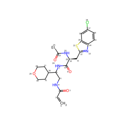 C=CC(=O)NCC(NC(=O)[C@H](Cc1nc2ccc(Cl)cc2s1)NC(=O)CC)C1CCOCC1